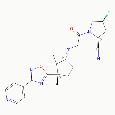 CC1(C)[C@H](NCC(=O)N2C[C@@H](F)C[C@H]2C#N)CC[C@]1(C)c1nc(-c2ccncc2)no1